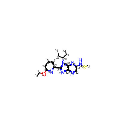 CCOc1cccc(-c2nc3ncc(NSC)nc3n2C(CC)CC)n1